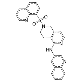 O=S(=O)(c1cccc2cccnc12)N1CCc2c(ccnc2Nc2cnc3ccccc3c2)C1